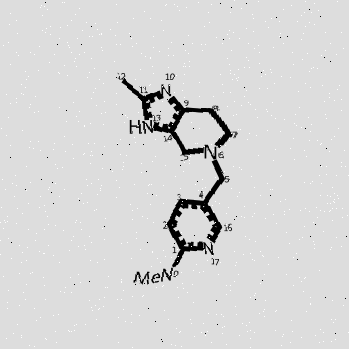 CNc1ccc(CN2CCc3nc(C)[nH]c3C2)cn1